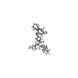 COc1ccc(CC(NC(=O)OC(C)(C)C)C(=O)Nc2ccc(Sc3cc(=O)n(C)c4ccccc34)cc2)cc1